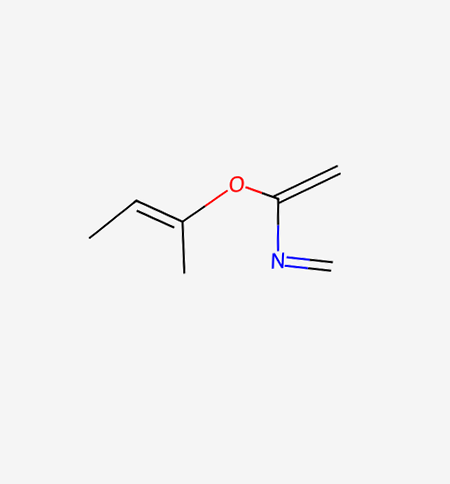 C=NC(=C)O/C(C)=C/C